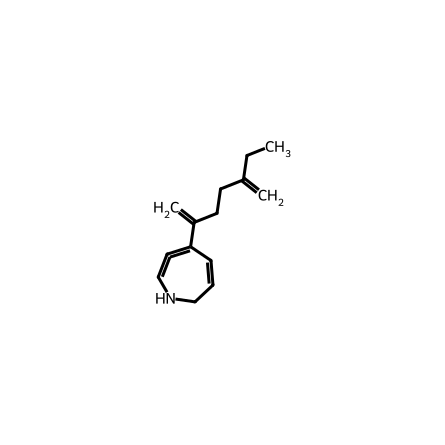 C=C(CC)CCC(=C)C1=C=CNCC=C1